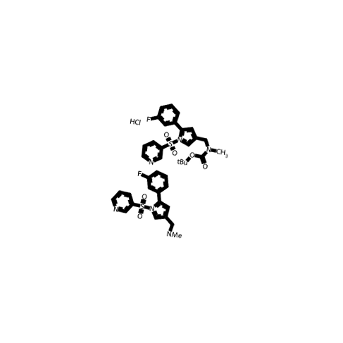 CN(Cc1cc(-c2cccc(F)c2)n(S(=O)(=O)c2cccnc2)c1)C(=O)OC(C)(C)C.CNCc1cc(-c2cccc(F)c2)n(S(=O)(=O)c2cccnc2)c1.Cl